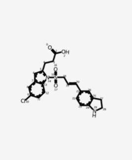 O=C(O)CCc1cc2cc(Cl)ccc2n1S(=O)(=O)CC=Cc1ccc2c(c1)CCN2